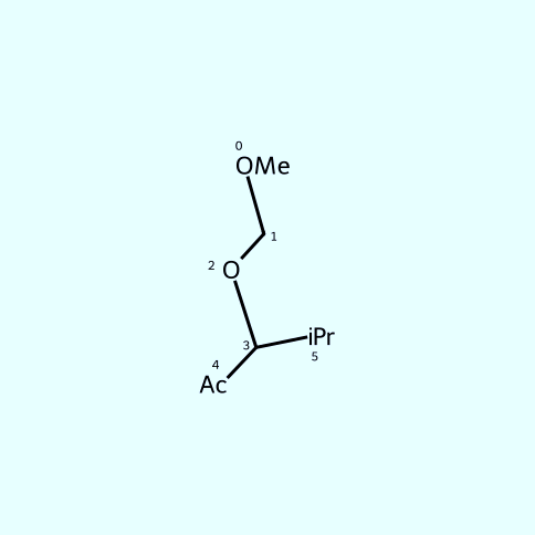 COCOC(C(C)=O)C(C)C